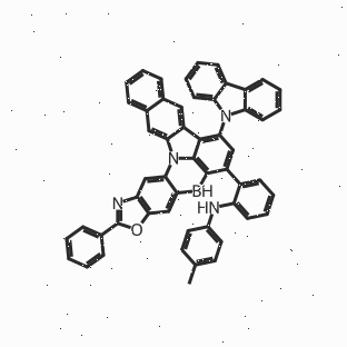 Cc1ccc(Nc2ccccc2-c2cc(-n3c4ccccc4c4ccccc43)c3c4cc5ccccc5cc4n4c3c2Bc2cc3oc(-c5ccccc5)nc3cc2-4)cc1